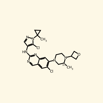 C[C@H]1CN(c2cc3nc(Nc4cnn(C5(C)CC5)c4Cl)ncc3cc2Cl)CCN1C1COC1